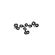 c1cc(-c2cccc(N(c3ccc(-c4cccc5ccccc45)cc3)c3cccc(-c4cccc5sc6ccccc6c45)c3)c2)cc(-c2cccc3c2sc2ccccc23)c1